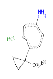 CCOC(=O)C1(c2ccc(N)cc2)CC1.Cl